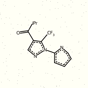 CC(C)C(=O)c1cnn(-c2ccccn2)c1C(F)(F)F